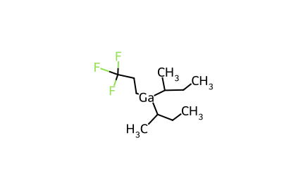 CC[CH](C)[Ga]([CH2]CC(F)(F)F)[CH](C)CC